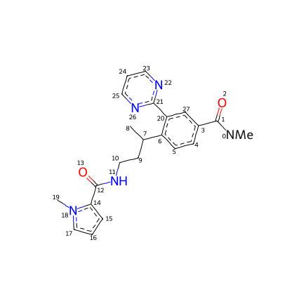 CNC(=O)c1ccc(C(C)CCNC(=O)c2cccn2C)c(-c2ncccn2)c1